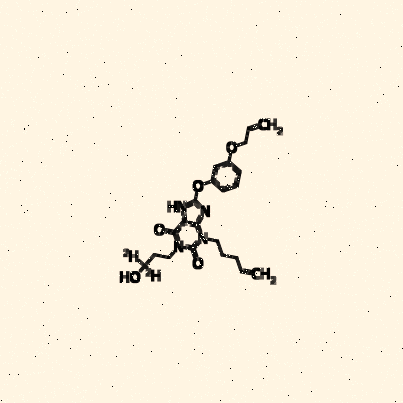 [2H]C([2H])(O)CCn1c(=O)c2[nH]c(Oc3cccc(OCC=C)c3)nc2n(CCCC=C)c1=O